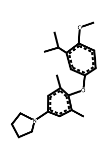 COc1ccc(Oc2c(C)cc(N3CCCC3)cc2C)cc1C(C)C